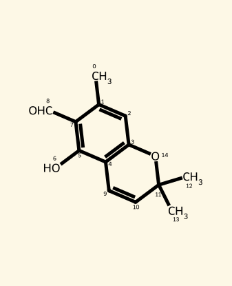 Cc1cc2c(c(O)c1C=O)C=CC(C)(C)O2